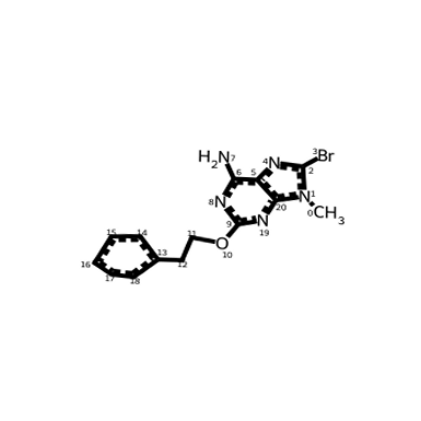 Cn1c(Br)nc2c(N)nc(OCCc3ccccc3)nc21